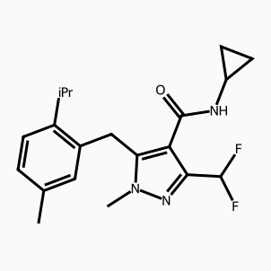 Cc1ccc(C(C)C)c(Cc2c(C(=O)NC3CC3)c(C(F)F)nn2C)c1